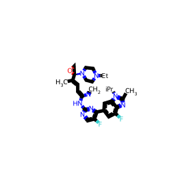 C=N/C(=C\C=C(/C)[C@@]1(N2CCN(CC)CC2)CO1)Nc1ncc(F)c(-c2cc(F)c3nc(C)n(C(C)C)c3c2)n1